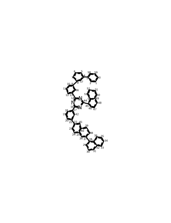 c1ccc(-c2cccc(-c3cccc(-c4nc(-c5cccc(-c6ccc7cc(-c8cccc9ccccc89)ccc7c6)c5)nc(-c5cccc6ccccc56)n4)c3)c2)cc1